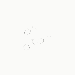 COc1ccc2nc(-c3cccnc3)nc(Nc3ccccc3C(=O)NCCC(F)(F)F)c2c1